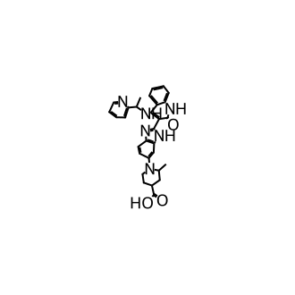 CC(Nc1c(-c2nc3ccc(N4CCC(C(=O)O)CC4C)cc3[nH]2)c(=O)[nH]c2ccccc12)c1ccccn1